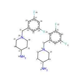 NC1CCN(Cc2cc(F)cc(F)c2)CC1.NC1CCN(Cc2cc(F)cc(F)c2)CC1